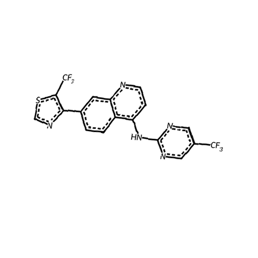 FC(F)(F)c1cnc(Nc2ccnc3cc(-c4ncsc4C(F)(F)F)ccc23)nc1